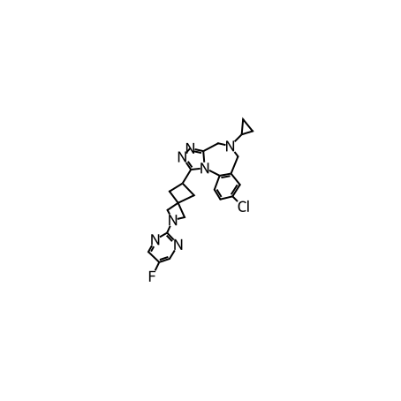 Fc1cnc(N2CC3(CC(c4nnc5n4-c4ccc(Cl)cc4CN(C4CC4)C5)C3)C2)nc1